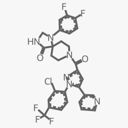 O=C(c1cc(-c2cccnc2)n(-c2ccc(C(F)(F)F)cc2Cl)n1)N1CCC2(CC1)C(=O)NCN2c1ccc(F)c(F)c1